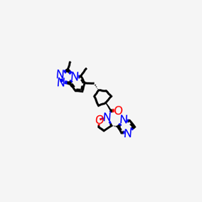 Cc1nnc2ccc(C[C@H]3CC[C@H](C(=O)N4OCC[C@H]4c4cnccn4)CC3)c(C)n12